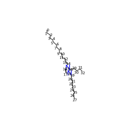 CCCCCCCCCCCCCCCN1C=CN(CCCCCCCCC)C1CCCC